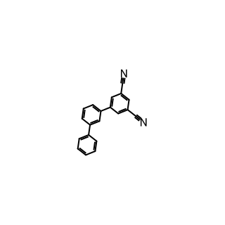 N#Cc1cc(C#N)cc(-c2cccc(-c3ccccc3)c2)c1